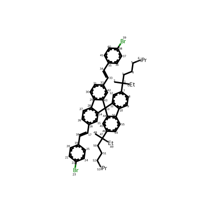 CCC(C)(CCCC(C)C)c1ccc2c(c1)C1(c3cc(/C=C/c4ccc(Br)cc4)ccc3-c3ccc(/C=C/c4ccc(Br)cc4)cc31)c1cc(C(C)(CC)CCCC(C)C)ccc1-2